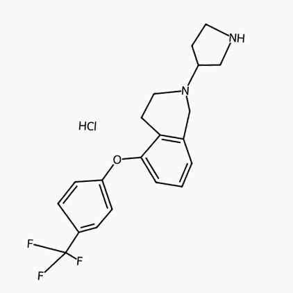 Cl.FC(F)(F)c1ccc(Oc2cccc3c2CCN(C2CCNC2)C3)cc1